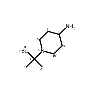 CCCCC(C)(C)N1CCC(N)CC1